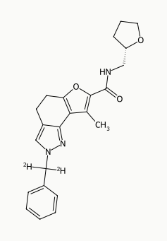 [2H]C([2H])(c1ccccc1)n1cc2c(n1)-c1c(oc(C(=O)NC[C@@H]3CCCO3)c1C)CC2